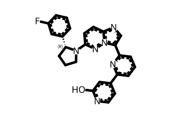 Oc1cc(-c2cccc(-c3cnc4ccc(N5CCC[C@@H]5c5cccc(F)c5)nn34)n2)ccn1